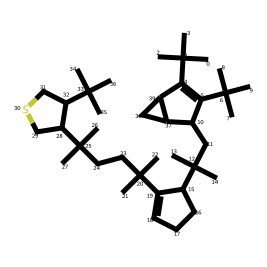 CC(C)(C)C1=C(C(C)(C)C)C(CC(C)(C)C2CCC=C2C(C)(C)CCC(C)(C)C2CSCC2C(C)(C)C)C2CC12